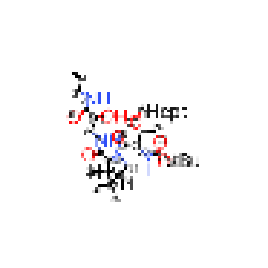 C=CCNC(=O)C(O)CNC(=O)[C@@H]1[C@@H]2[C@H](CN1C(=O)[C@@H](NC(=O)OC(C)(C)C)[C@H](C)OCCCCCCC)C2(C)C